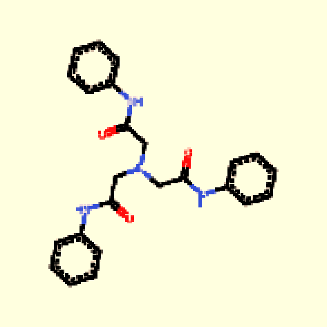 O=C(CN(CC(=O)Nc1ccccc1)CC(=O)Nc1ccccc1)Nc1ccccc1